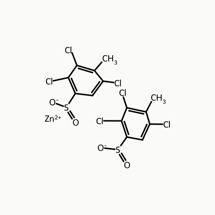 Cc1c(Cl)cc(S(=O)[O-])c(Cl)c1Cl.Cc1c(Cl)cc(S(=O)[O-])c(Cl)c1Cl.[Zn+2]